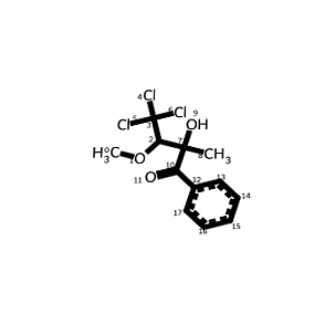 COC(C(Cl)(Cl)Cl)C(C)(O)C(=O)c1ccccc1